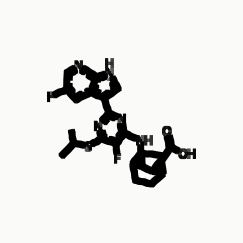 CC(C)Sc1nc(-c2c[nH]c3ncc(F)cc23)nc(NC2C3CCC(CC3)C2C(=O)O)c1F